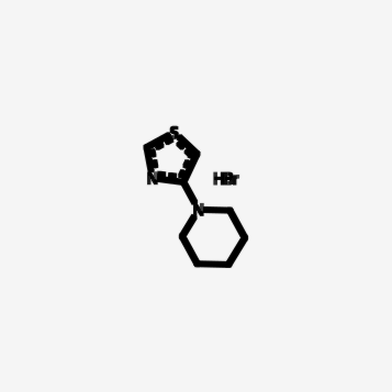 Br.c1nc(N2CCCCC2)cs1